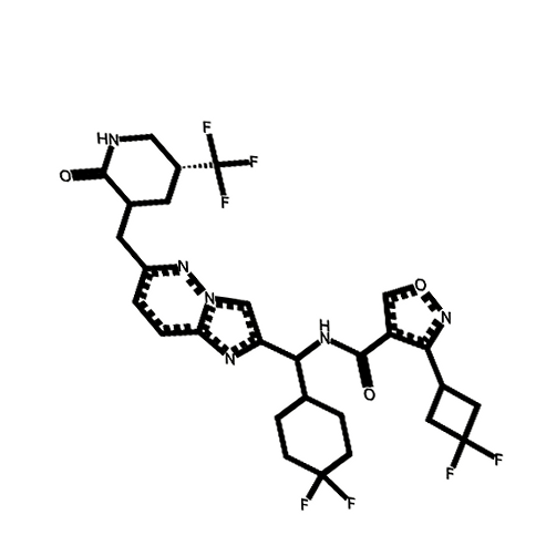 O=C(NC(c1cn2nc(CC3C[C@@H](C(F)(F)F)CNC3=O)ccc2n1)C1CCC(F)(F)CC1)c1conc1C1CC(F)(F)C1